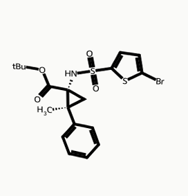 CC(C)(C)OC(=O)[C@@]1(NS(=O)(=O)c2ccc(Br)s2)C[C@@]1(C)c1ccccc1